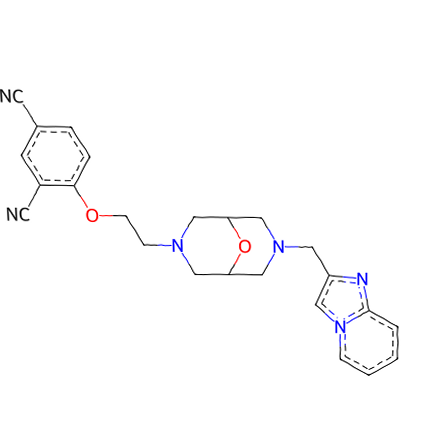 N#Cc1ccc(OCCN2CC3CN(Cc4cn5ccccc5n4)CC(C2)O3)c(C#N)c1